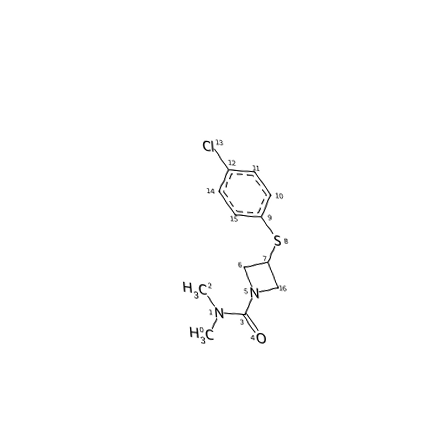 CN(C)C(=O)N1CC(Sc2ccc(Cl)cc2)C1